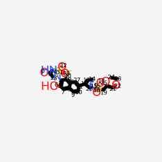 O=C1CN(c2c(O)cc3ccc(C4=CCN(S(=O)(=O)CC5COCCO5)C4)cc3c2F)S(=O)(=O)N1